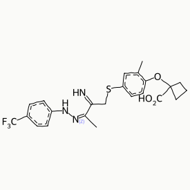 C/C(=N/Nc1ccc(C(F)(F)F)cc1)C(=N)CSc1ccc(OC2(C(=O)O)CCC2)c(C)c1